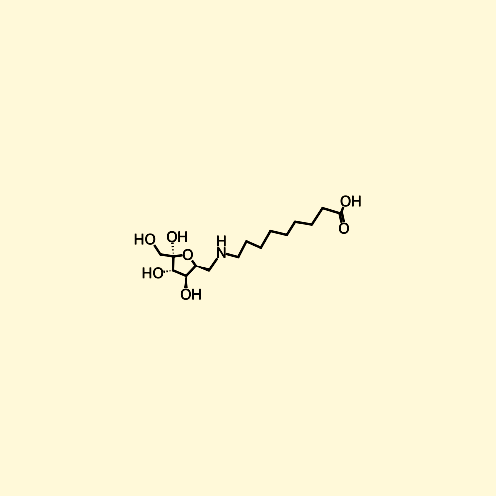 O=C(O)CCCCCCCCNC[C@@H]1O[C@](O)(CO)[C@@H](O)[C@@H]1O